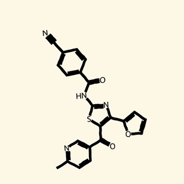 Cc1ccc(C(=O)c2sc(NC(=O)c3ccc(C#N)cc3)nc2-c2ccco2)cn1